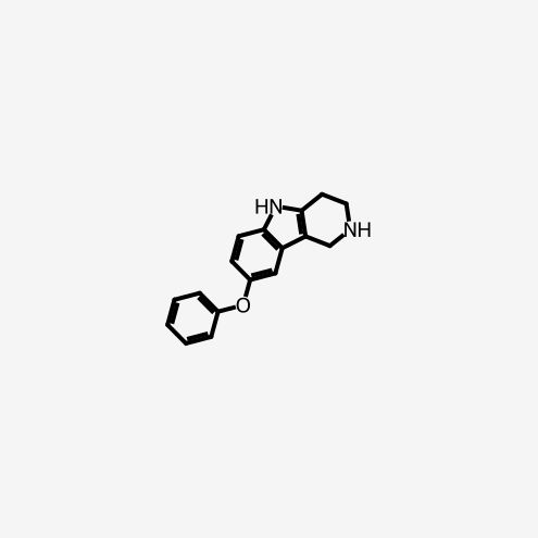 c1ccc(Oc2ccc3[nH]c4c(c3c2)CNCC4)cc1